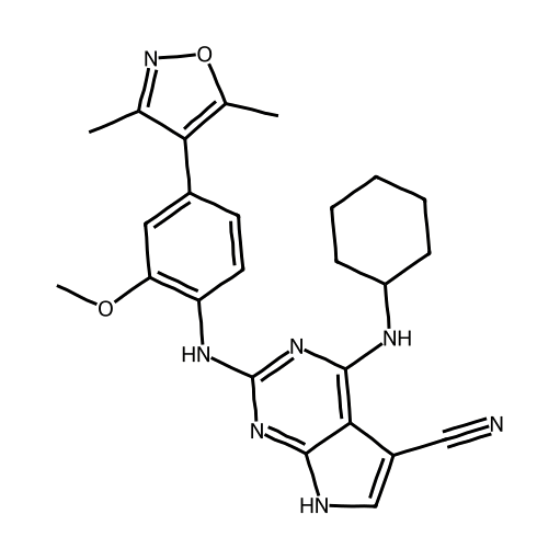 COc1cc(-c2c(C)noc2C)ccc1Nc1nc(NC2CCCCC2)c2c(C#N)c[nH]c2n1